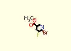 COC(=O)c1cnc(Br)c(F)c1